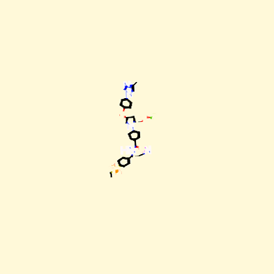 CCS(=O)(=O)c1ccc([C@H](CC#N)NC(=O)c2ccc(N3C[C@@H](Oc4ccc(-n5cnc(C)c5)cc4)C[C@H]3COC(F)F)cc2)cc1